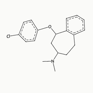 CN(C)C1CCc2ccccc2C(Oc2ccc(Cl)cc2)C1